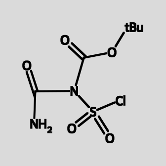 CC(C)(C)OC(=O)N(C(N)=O)S(=O)(=O)Cl